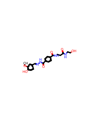 COc1cc(C=NNC(=O)c2ccc(C(=O)NCCC(=O)NCCO)cc2)ccc1O